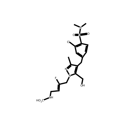 Cc1nn(C/C(F)=C/CNC(=O)O)c(CO)c1Cc1ccc(S(=O)(=O)N(C)C)c(Cl)c1